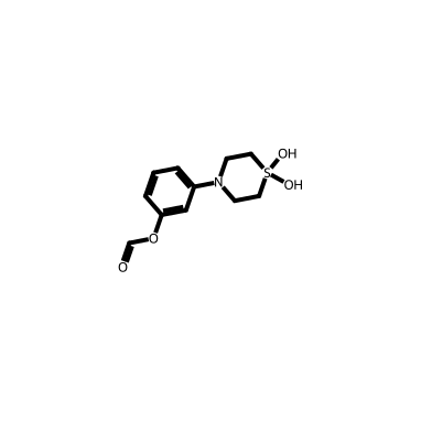 O=COc1cccc(N2CCS(O)(O)CC2)c1